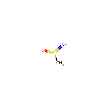 C[SH](=N)=O